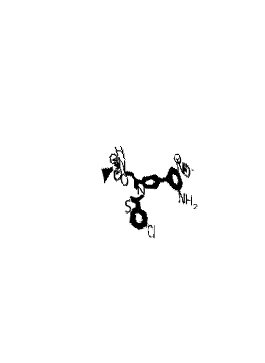 Nc1cc(-c2ccc3c(CC(=O)NS(=O)(=O)C4CC4)cn(Cc4csc5ccc(Cl)cc45)c3c2)cc([N+](=O)[O-])c1